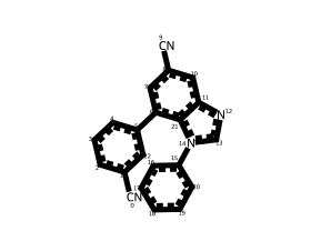 N#Cc1cccc(-c2cc(C#N)cc3ncn(-c4ccccc4)c23)c1